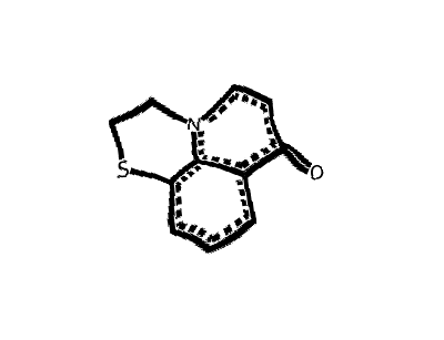 O=c1ccn2c3c(cccc13)SCC2